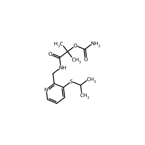 CC(C)Sc1cccnc1CNC(=O)C(C)(C)OC(N)=O